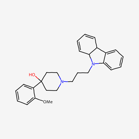 COc1ccccc1C1(O)CCN(CCCN2c3ccccc3C3C=CC=CC32)CC1